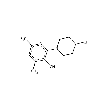 Cc1cc(C(F)(F)F)nc(N2CCC(C)CC2)c1C#N